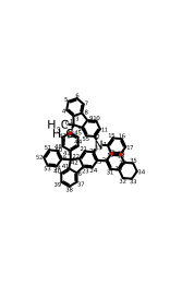 CC1(C)c2ccccc2-c2ccc(N(c3ccccc3)c3cc4c(cc3-c3ccc5c(c3)CCCC5)-c3ccccc3C4(c3ccccc3)c3ccccc3)cc21